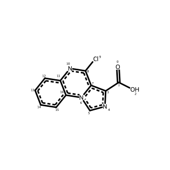 O=C(O)c1ncn2c1c(Cl)nc1ccccc12